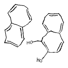 Oc1ccc2ccccc2c1O.c1ccc2ccccc2c1